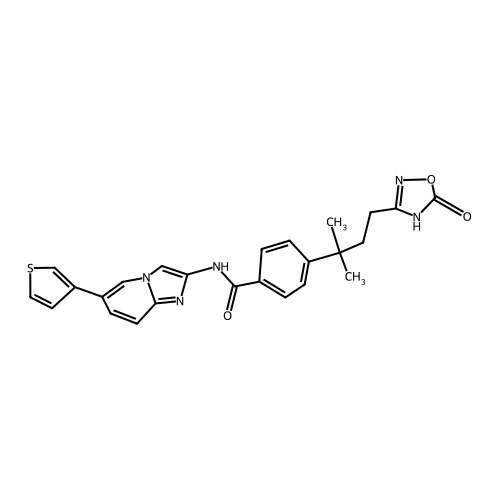 CC(C)(CCc1noc(=O)[nH]1)c1ccc(C(=O)Nc2cn3cc(-c4ccsc4)ccc3n2)cc1